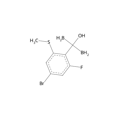 BC(B)(O)c1c(F)cc(Br)cc1SC